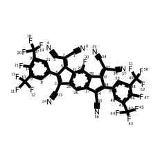 N#CC(C#N)=C1C(c2cc(C(F)(F)F)c(F)c(C(F)(F)F)c2)=C(C#N)c2cc3c(c(F)c21)C(=C(C#N)C#N)C(c1cc(C(F)(F)F)c(F)c(C(F)(F)F)c1)=C3C#N